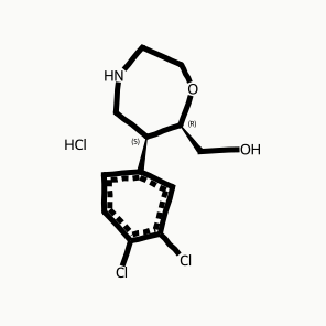 Cl.OC[C@@H]1OCCNC[C@@H]1c1ccc(Cl)c(Cl)c1